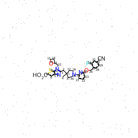 CC1(Cc2nc3cc(C(=O)O)sc3n2CC2CCO2)CCN(c2cccc(OCc3ccc(C#N)cc3F)n2)CC1